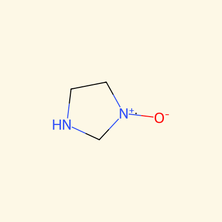 [O-][N+]1CCNC1